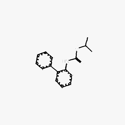 [CH2]C(C)OC(=O)Nc1ccccc1-c1ccccc1